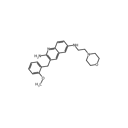 COc1ccccc1Cc1cc2cc(NCCN3CCOCC3)ccc2nc1N